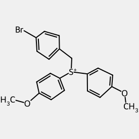 COc1ccc([S+](Cc2ccc(Br)cc2)c2ccc(OC)cc2)cc1